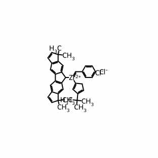 CC(C)(C)C1=CC[C](/[Zr+2](=[CH]\c2ccccc2)[CH]2c3cc4c(cc3-c3cc5c(cc32)C(C)(C)C=C5)C=CC4(C)C)=C1.[Cl-].[Cl-]